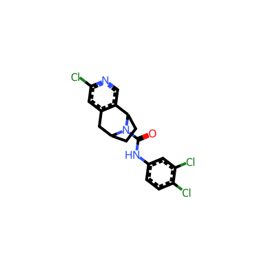 O=C(Nc1ccc(Cl)c(Cl)c1)N1C2CCC1c1cnc(Cl)cc1C2